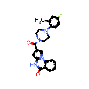 Cc1cc(F)ccc1N1CCN(C(=O)c2cc3[nH]c(=O)c4ccccc4n3c2)CC1